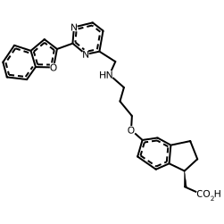 O=C(O)C[C@@H]1CCc2cc(OCCCNCc3ccnc(-c4cc5ccccc5o4)n3)ccc21